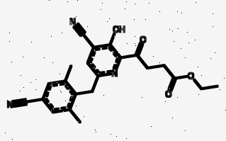 CCOC(=O)CCC(=O)c1nc(Cc2c(C)cc(C#N)cc2C)cc(C#N)c1O